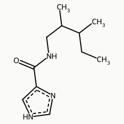 CCC(C)C(C)CNC(=O)c1c[nH]cn1